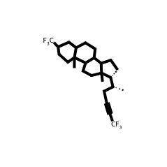 C[C@H](CC#CC(F)(F)F)[C@H]1CCC2C3CCC4CC(C(F)(F)F)CCC4(C)C3CCC21C